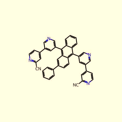 N#Cc1cc(-c2cncc(-c3c4ccccc4c(-c4cncc(-c5ccnc(C#N)c5)c4)c4cc(-c5ccccc5)ccc34)c2)ccn1